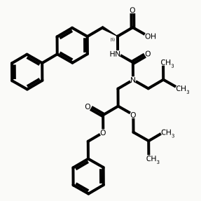 CC(C)COC(CN(CC(C)C)C(=O)N[C@@H](Cc1ccc(-c2ccccc2)cc1)C(=O)O)C(=O)OCc1ccccc1